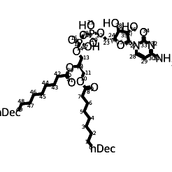 CCCCCCCCCCCCCCCCCC(=O)OC[C@H](COP(=O)(O)OP(=O)(O)OC[C@H]1O[C@@H](n2ccc(N)nc2=O)[C@H](O)[C@@H]1O)OC(=O)CCCCCCCCCCCCCCCCC